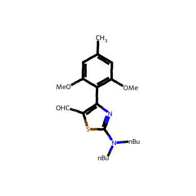 CCCCN(CCCC)c1nc(-c2c(OC)cc(C)cc2OC)c(C=O)s1